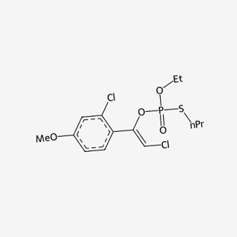 CCCSP(=O)(OCC)OC(=CCl)c1ccc(OC)cc1Cl